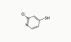 [O-][n+]1cc(S)ccn1